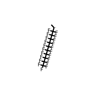 C[CH]C(F)(F)C(F)(F)C(F)(F)C(F)(F)C(F)(F)C(F)(F)C(F)(F)C(F)(F)C(F)(F)C(F)(F)F